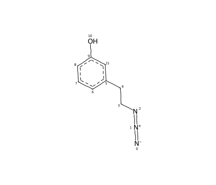 [N-]=[N+]=NCCc1cccc(O)c1